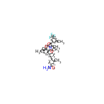 COc1ccc(-c2ccc(C(N)=O)cc2C)cc1C1=C(CN2C(=O)O[C@H](c3cc(C)cc(C(F)(F)F)c3)[C@@H]2C)CC(C)(C)CC1